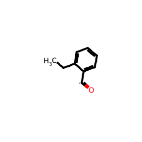 CCc1ccccc1[C]=O